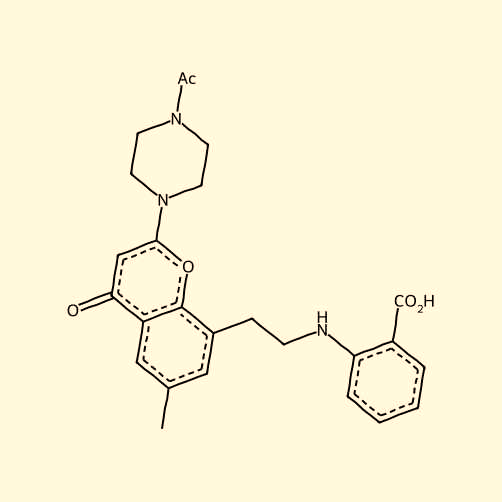 CC(=O)N1CCN(c2cc(=O)c3cc(C)cc(CCNc4ccccc4C(=O)O)c3o2)CC1